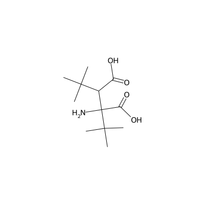 CC(C)(C)C(C(=O)O)C(N)(C(=O)O)C(C)(C)C